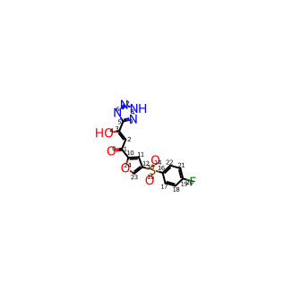 O=C(C=C(O)c1nn[nH]n1)c1cc(S(=O)(=O)c2ccc(F)cc2)co1